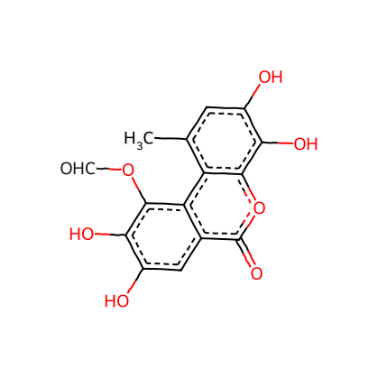 Cc1cc(O)c(O)c2oc(=O)c3cc(O)c(O)c(OC=O)c3c12